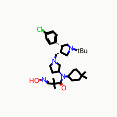 CC1(C)CCC(N(C(=O)C(C)(C)C=NO)[C@H]2CCN(C[C@H]3CN(C(C)(C)C)C[C@H]3c3ccc(Cl)cc3)C2)CC1